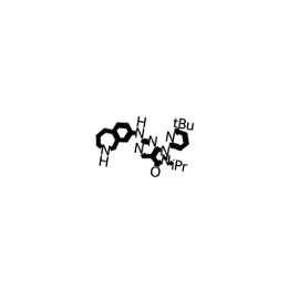 CC(C)n1c(=O)c2cnc(Nc3ccc4c(c3)CNCCC4)nc2n1-c1cccc(C(C)(C)C)n1